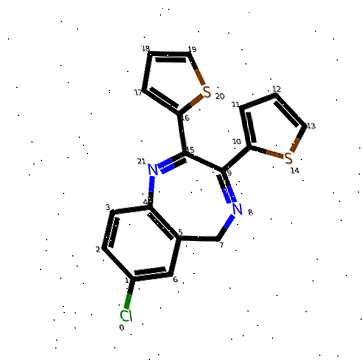 Clc1ccc2c(c1)CN=C(c1cccs1)C(c1cccs1)=N2